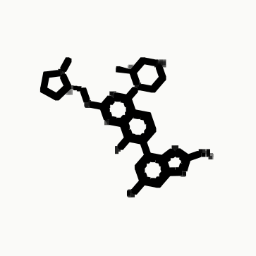 C[C@H]1CNCCN1c1nc(OC[C@@H]2CCCN2C)nc2c(F)c(-c3cc(Cl)cc4sc(N)nc34)ccc12